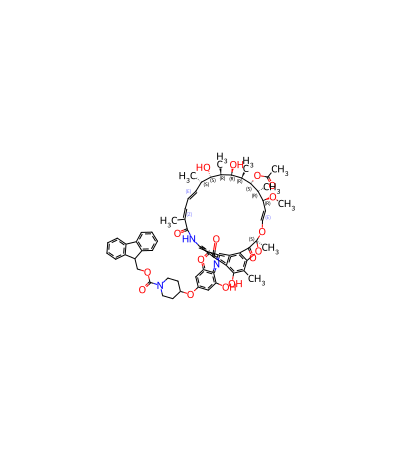 CO[C@H]1/C=C/O[C@@]2(C)Oc3c(C)c(O)c4c(=O)c(c5oc6cc(OC7CCN(C(=O)OCC8c9ccccc9-c9ccccc98)CC7)cc(O)c6nc-5c4c3C2=O)NC(=O)/C(C)=C\C=C\[C@H](C)[C@H](O)[C@@H](C)[C@@H](O)[C@@H](C)[C@H](OC(C)=O)[C@@H]1C